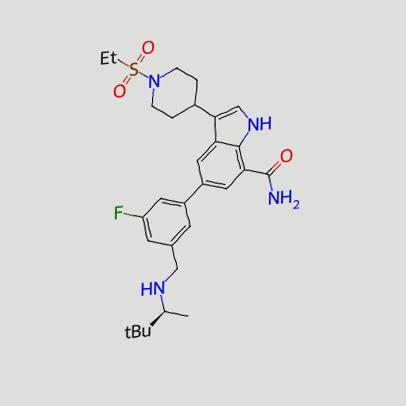 CCS(=O)(=O)N1CCC(c2c[nH]c3c(C(N)=O)cc(-c4cc(F)cc(CN[C@@H](C)C(C)(C)C)c4)cc23)CC1